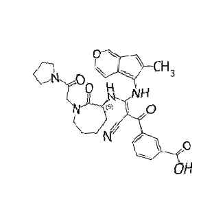 Cc1cc2coccc-2c1NC(N[C@H]1CCCCN(CC(=O)N2CCCC2)C1=O)=C(C#N)C(=O)c1cccc(C(=O)O)c1